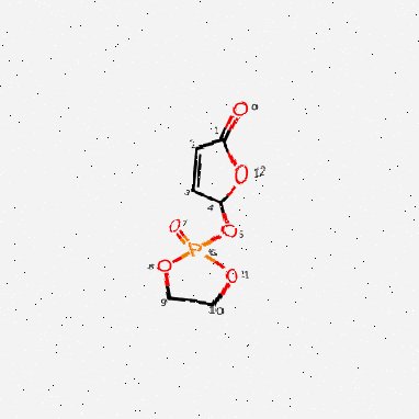 O=C1C=CC(OP2(=O)OCCO2)O1